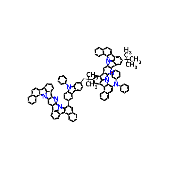 CC(C)(C)c1cc2c3ccc4ccccc4c3n3c4cc5c6cc(C(C)(C)Cc7ccc8c9cc(-c%10cc%11ccccc%11c%11c%12cccc%13c%14cc%15c(nc%14n(c%10%11)c%13%12)c%10cccc%11c%12ccc%13ccccc%13c%12n%15c%11%10)ccc9n(-c9ccccc9)c8c7)cc7c8c9ccccc9cc(N(c9ccccc9)c9ccccc9)c8n(c5nc4c(c1)c23)c67